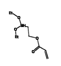 C=CC(=O)OCC[SiH](OCC)OCC